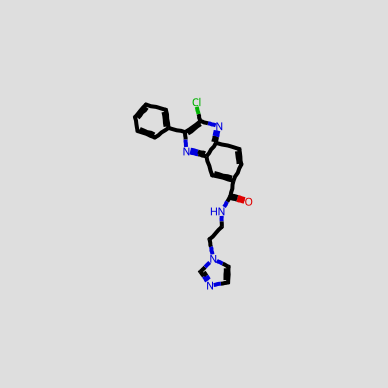 O=C(NCCn1ccnc1)c1ccc2nc(Cl)c(-c3ccccc3)nc2c1